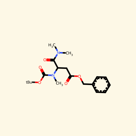 CN(C)C(=O)C(CC(=O)OCc1ccccc1)N(C)C(=O)OC(C)(C)C